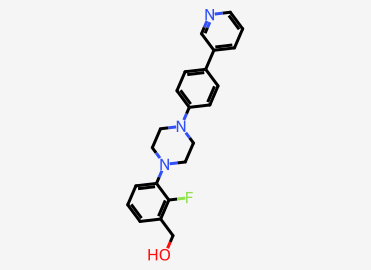 OCc1cccc(N2CCN(c3ccc(-c4cccnc4)cc3)CC2)c1F